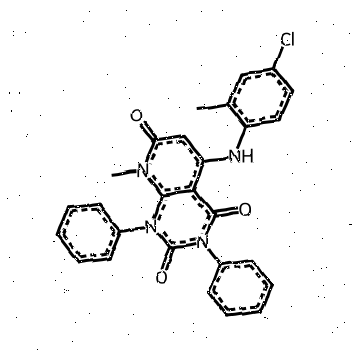 Cc1cc(Cl)ccc1Nc1cc(=O)n(C)c2c1c(=O)n(-c1ccccc1)c(=O)n2-c1ccccc1